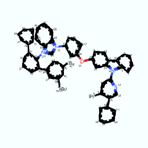 CC(C)c1cc(-n2c3ccccc3c3ccc(Oc4cccc(-n5c[n+](-c6c(-c7ccccc7)cccc6-c6cc(C(C)(C)C)cc(C(C)(C)C)c6)c6ccccc65)c4)cc32)ncc1-c1ccccc1